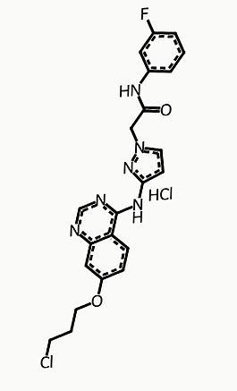 Cl.O=C(Cn1ccc(Nc2ncnc3cc(OCCCCl)ccc23)n1)Nc1cccc(F)c1